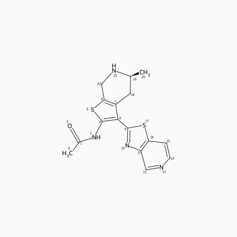 CC(=O)Nc1sc2c(c1-c1nc3cnccc3s1)C[C@H](C)NC2